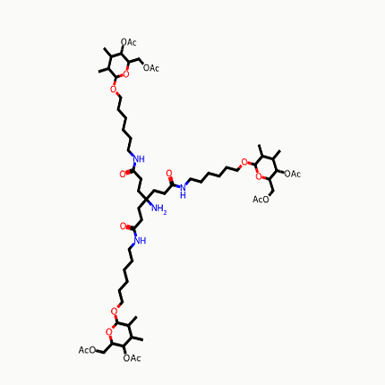 CC(=O)OCC1OC(OCCCCCCNC(=O)CCC(N)(CCC(=O)NCCCCCCOC2OC(COC(C)=O)C(OC(C)=O)C(C)C2C)CCC(=O)NCCCCCCOC2OC(COC(C)=O)C(OC(C)=O)C(C)C2C)C(C)C(C)C1OC(C)=O